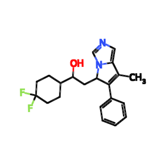 CC1=C(c2ccccc2)C(CC(O)C2CCC(F)(F)CC2)n2cncc21